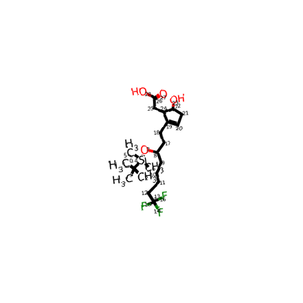 CC(C)(C)[Si](C)(C)OC(CCCCC(F)(F)F)CCC1=CCC(O)C1CC(=O)O